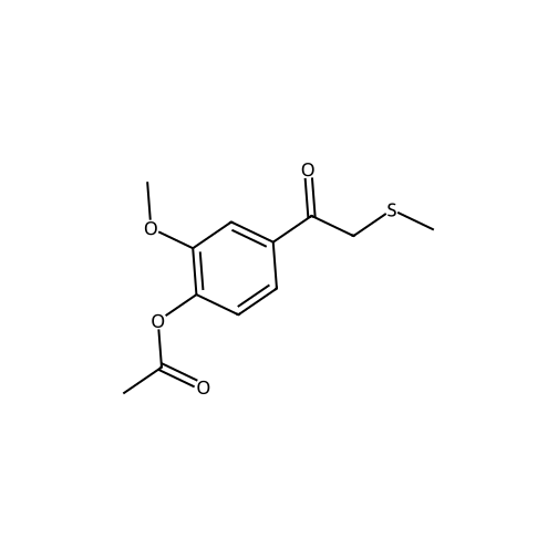 COc1cc(C(=O)CSC)ccc1OC(C)=O